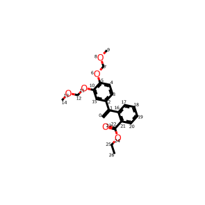 C=C(c1ccc(OCOC)c(OCOC)c1)c1ccccc1C(=O)OCC